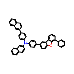 c1ccc(-c2cccc3c2oc2ccc(-c4ccc(N(c5ccc(-c6ccc7ccccc7c6)cc5)c5ccc6ccccc6c5)cc4)cc23)cc1